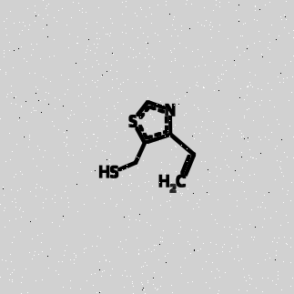 C=Cc1ncsc1CS